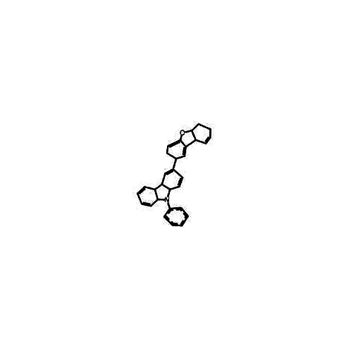 C1=CC2C3C=C(C4C=C5C(=CC4)OC4CCC=CC54)C=CC3N(c3ccccc3)C2C=C1